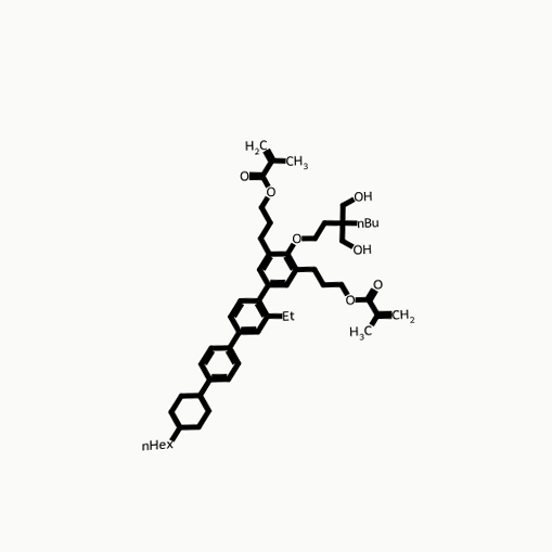 C=C(C)C(=O)OCCCc1cc(-c2ccc(-c3ccc(C4CCC(CCCCCC)CC4)cc3)cc2CC)cc(CCCOC(=O)C(=C)C)c1OCCC(CO)(CO)CCCC